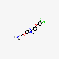 CCCCn1c(-c2cccc(Oc3ccc(Cl)c(Cl)c3)c2)nc2ccc(OCCCN(CC)CC)cc21